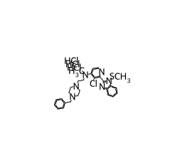 CSn1c(-c2nccc(N(C)CCN3CCN(Cc4ccccc4)CC3)c2Cl)nc2ccccc21.Cl.Cl.Cl